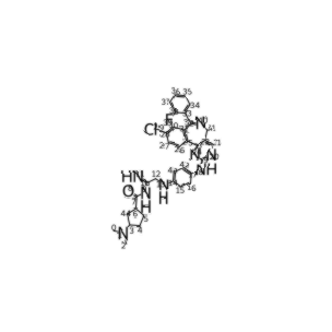 CN(C)C1CCC(C(=O)NC(=N)CNc2ccc(Nc3ncc4c(n3)-c3ccc(Cl)cc3C(c3ccccc3F)=NC4)cc2)C1